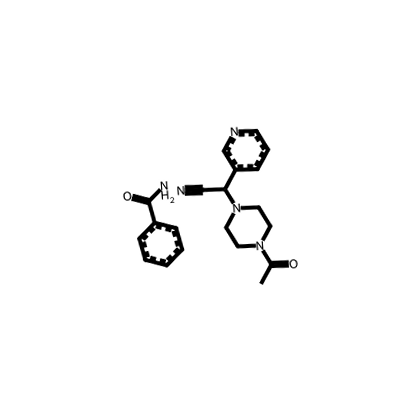 CC(=O)N1CCN(C(C#N)c2cccnc2)CC1.NC(=O)c1ccccc1